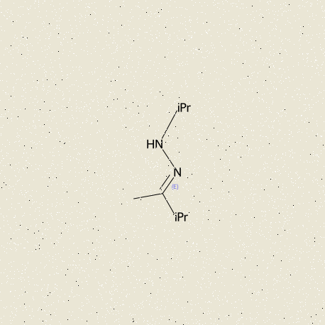 C/C(=N\NC(C)C)C(C)C